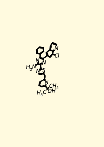 CC(C)(O)c1cccc(Cc2cnc(-c3nc(-c4cc(Cl)c5ncccc5c4)c(-c4ccccc4)nc3N)s2)n1